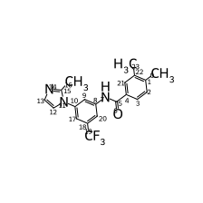 Cc1ccc(C(=O)Nc2cc(-n3ccnc3C)cc(C(F)(F)F)c2)cc1C